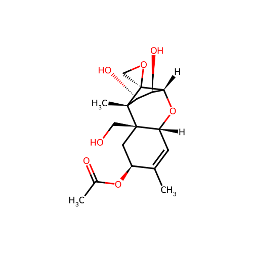 CC(=O)O[C@H]1C[C@@]2(CO)[C@@H](C=C1C)O[C@@H]1[C@H](O)[C@@H](O)[C@@]2(C)[C@]12CO2